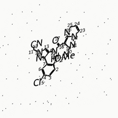 COc1ccc(Cl)cc1-c1nn(CC#N)cc1NC(=O)c1c(N)nn2cccnc12